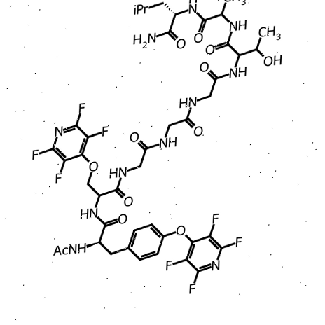 CC(=O)N[C@H](Cc1ccc(Oc2c(F)c(F)nc(F)c2F)cc1)C(=O)NC(COc1c(F)c(F)nc(F)c1F)C(=O)NCC(=O)NCC(=O)NCC(=O)NC(C(=O)NC(C)C(=O)N[C@@H](CC(C)C)C(N)=O)C(C)O